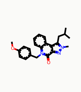 COc1ccc(Cn2c(=O)c3nn(C)c(CC(C)C)c3c3ccccc32)cc1